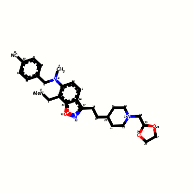 CNCc1c(N(C)Cc2ccc(C#N)cc2)ccc2c(CCC3CCN(CC4OCCO4)CC3)noc12